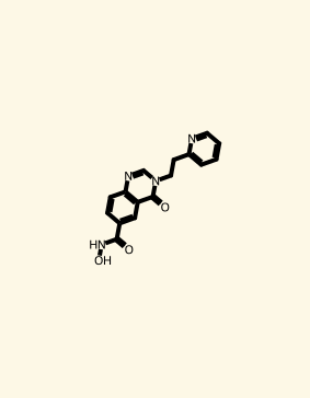 O=C(NO)c1ccc2ncn(CCc3ccccn3)c(=O)c2c1